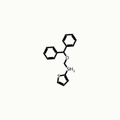 c1ccc(C(OC[SiH2]c2cccs2)c2ccccc2)cc1